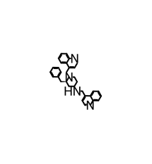 c1ccc(C[C@@H]2C[C@@H](NCc3ccnc4ccccc34)CCN2Cc2ccnc3ccccc23)cc1